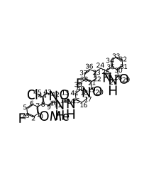 COc1cc(F)ccc1-c1cc(NC(=O)NC2CCN(C(=O)c3cc(Cc4n[nH]c(=O)c5ccccc45)ccc3F)CC2)ncc1Cl